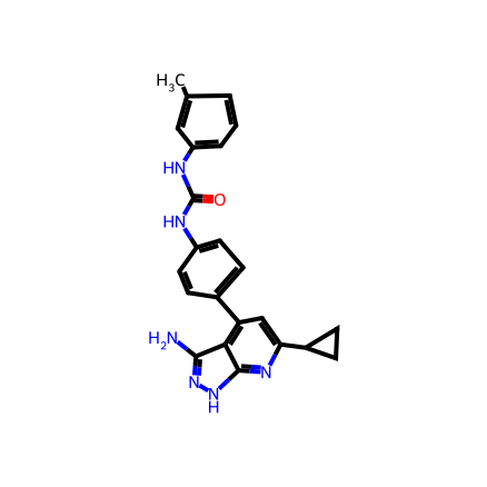 Cc1cccc(NC(=O)Nc2ccc(-c3cc(C4CC4)nc4[nH]nc(N)c34)cc2)c1